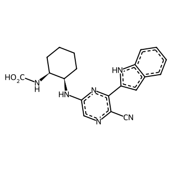 N#Cc1ncc(N[C@@H]2CCCC[C@@H]2NC(=O)O)nc1-c1cc2ccccc2[nH]1